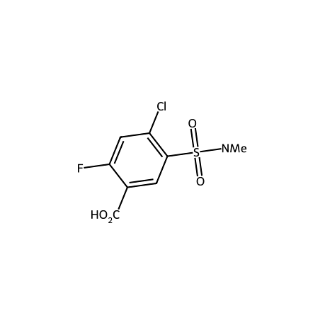 CNS(=O)(=O)c1cc(C(=O)O)c(F)cc1Cl